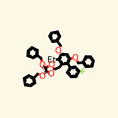 CCc1c(OCc2ccccc2)cc(OCc2ccccc2)c(-c2cccc(F)c2)c1CC1O[C@@H](OCc2ccccc2)[C@H](OCc2ccccc2)O1